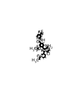 CCC(=O)N1CCCC(c2nc(-c3ccc(C(=O)Nc4cc(C(F)(F)F)ccn4)cc3OC(C)(F)F)c3c(N)ncc(Cl)n23)C1